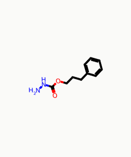 NNC(=O)OCCCc1ccccc1